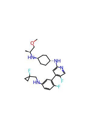 COC[C@H](C)N[C@H]1CC[C@H](Nc2cc(-c3cc(NCC4(F)CC4)ccc3F)c(F)cn2)CC1